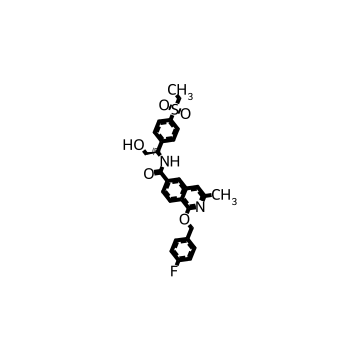 CCS(=O)(=O)c1ccc([C@H](CO)NC(=O)c2ccc3c(OCc4ccc(F)cc4)nc(C)cc3c2)cc1